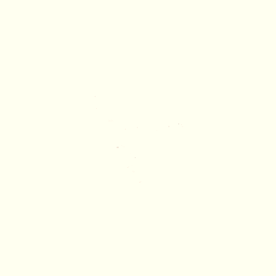 CCC(=O)C#Cc1cc(C#CC(=O)CC)cc(C(=O)CC)c1